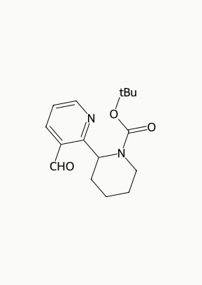 CC(C)(C)OC(=O)N1CCCCC1c1ncccc1C=O